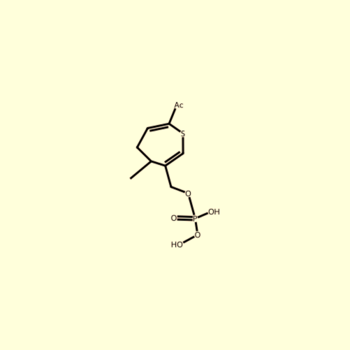 CC(=O)C1=CCC(C)C(COP(=O)(O)OO)=CS1